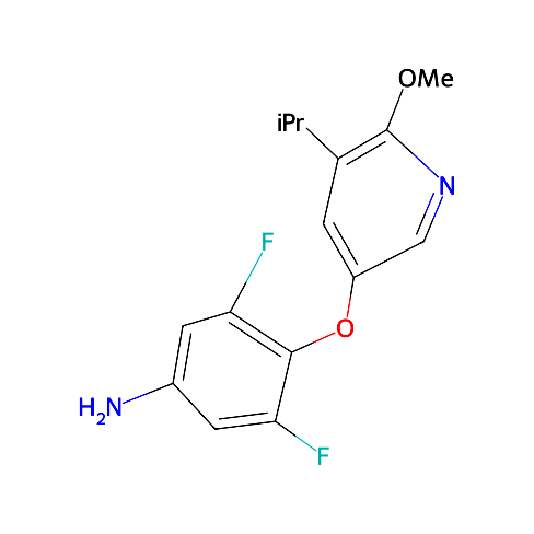 COc1ncc(Oc2c(F)cc(N)cc2F)cc1C(C)C